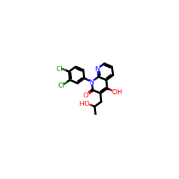 CC(O)Cc1c(O)c2cccnc2n(-c2ccc(Cl)c(Cl)c2)c1=O